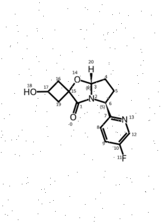 O=C1N2[C@@H](CC[C@H]2c2ccc(F)cn2)OC12CC(O)C2